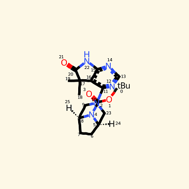 CC(C)(C)OC(=O)N1[C@@H]2CC[C@H]1CN(c1ncnc3c1C(C)(C)C(=O)N3)C2